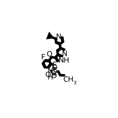 CCCCS(=O)(=O)[NH+]([O-])c1ccc(F)c(C(=O)c2c[nH]c3ncc(-c4ccnc(C5CC5)c4)cc23)c1F